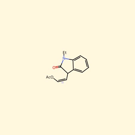 CCN1C(=O)C(/C=C\OC(C)=O)c2ccccc21